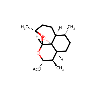 CC(=O)O[C@@H]1O[C@@H]2O[C@]3(C)CC[C@H]4[C@H](C)CC[C@@H]([C@H]1C)[C@@]24OO3